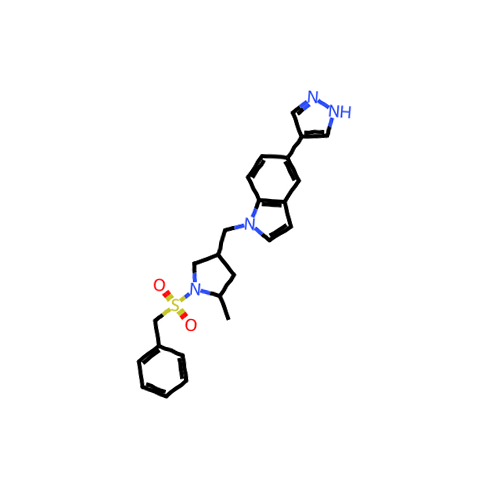 CC1CC(Cn2ccc3cc(-c4cn[nH]c4)ccc32)CN1S(=O)(=O)Cc1ccccc1